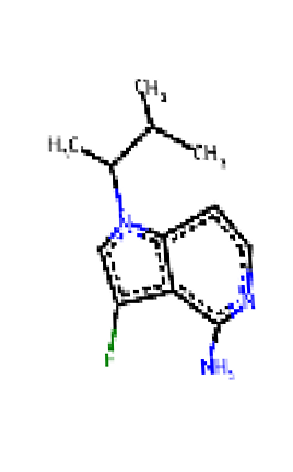 CC(C)C(C)n1cc(F)c2c(N)nccc21